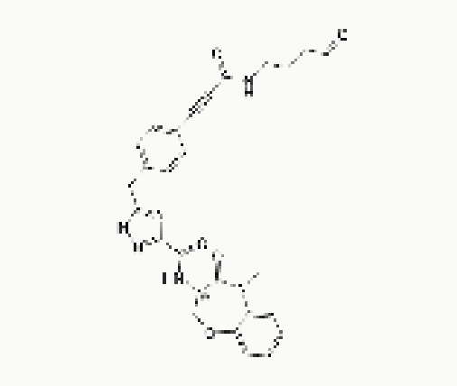 CN1C(=O)[C@@H](NC(=O)c2n[nH]c(Cc3ccc(C#CC(=O)NCCCC=O)cc3)n2)COc2ccccc21